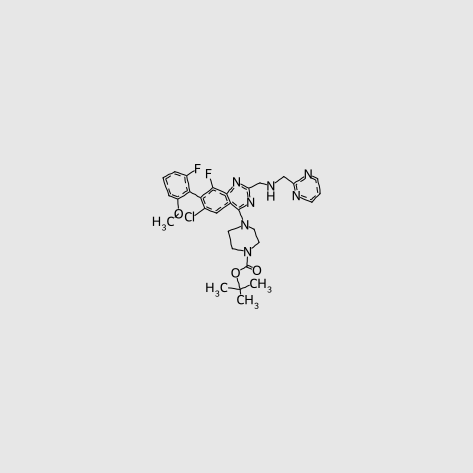 COc1cccc(F)c1-c1c(Cl)cc2c(N3CCN(C(=O)OC(C)(C)C)CC3)nc(CNCc3ncccn3)nc2c1F